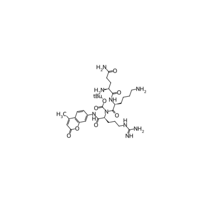 Cc1cc(=O)oc2cc(NC(=O)[C@H](CCCNC(=N)N)N(C(=O)OC(C)(C)C)C(=O)[C@H](CCCCN)NC(=O)[C@@H](N)CCC(N)=O)ccc12